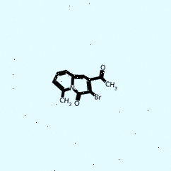 CC(=O)c1cc2cccc(C)n2c(=O)c1Br